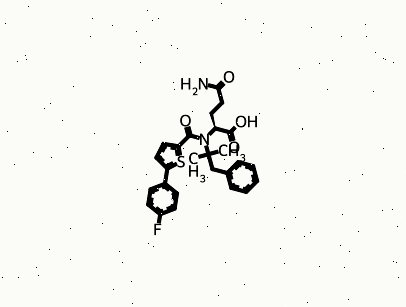 CC(C)(Cc1ccccc1)N(C(=O)c1ccc(-c2ccc(F)cc2)s1)[C@@H](CCC(N)=O)C(=O)O